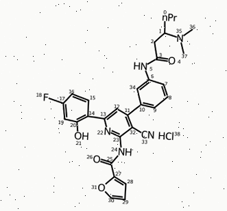 CCCC(CC(=O)Nc1cccc(-c2cc(-c3ccc(F)cc3O)nc(NC(=O)c3ccco3)c2C#N)c1)N(C)C.Cl